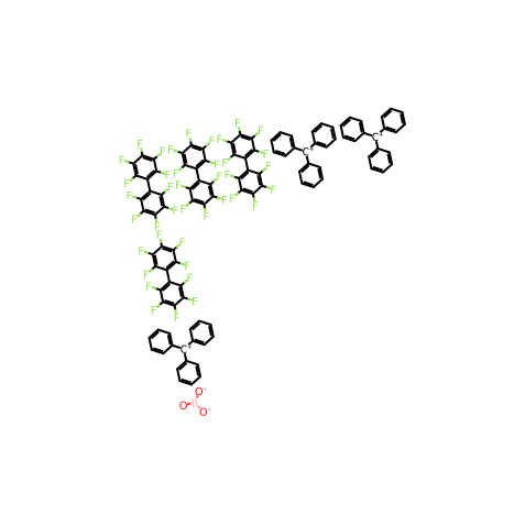 Fc1c(F)c(F)c(-c2c(F)c(F)c(F)c(F)c2F)c(F)c1F.Fc1c(F)c(F)c(-c2c(F)c(F)c(F)c(F)c2F)c(F)c1F.Fc1c(F)c(F)c(-c2c(F)c(F)c(F)c(F)c2F)c(F)c1F.Fc1c(F)c(F)c(-c2c(F)c(F)c(F)c(F)c2F)c(F)c1F.[O-]B([O-])[O-].c1ccc([C+](c2ccccc2)c2ccccc2)cc1.c1ccc([C+](c2ccccc2)c2ccccc2)cc1.c1ccc([C+](c2ccccc2)c2ccccc2)cc1